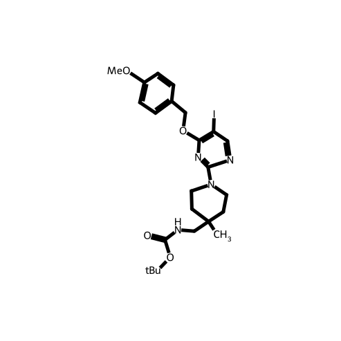 COc1ccc(COc2nc(N3CCC(C)(CNC(=O)OC(C)(C)C)CC3)ncc2I)cc1